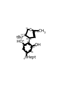 CCCCCCCc1cc(O)c([C@@H]2C=C(C)CC[C@H]2C(C)(C)C)c(O)c1